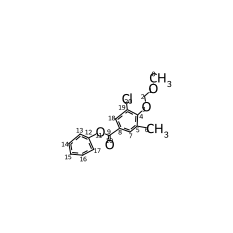 COCOc1c(C)cc(C(=O)Oc2ccccc2)cc1Cl